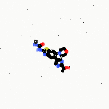 CCNC(=O)Nc1nc2cc(-c3cnc(C(C)O)nc3)c(N3CCOCC3)cc2s1